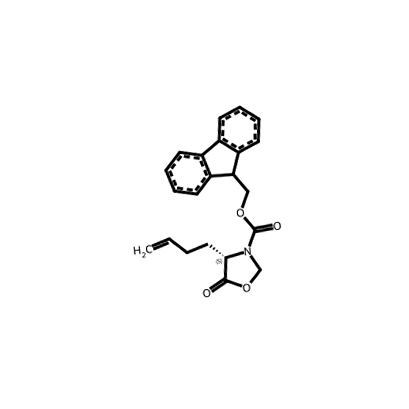 C=CCC[C@H]1C(=O)OCN1C(=O)OCC1c2ccccc2-c2ccccc21